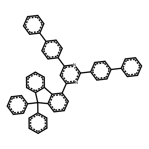 c1ccc(-c2ccc(-c3cc(-c4cccc5c4-c4ccccc4C5(c4ccccc4)c4ccccc4)nc(-c4ccc(-c5ccccc5)cc4)n3)cc2)cc1